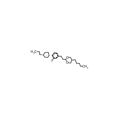 CCCCCC1COC(CCc2ccc([C@H]3CC[C@H](CCC)CC3)c(F)c2)OC1